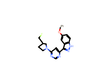 CC(C)Oc1ccc2[nH]nc(-c3cc(N4CCC(CF)C4)ncn3)c2c1